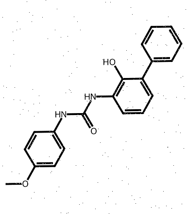 COc1ccc(NC(=O)Nc2cccc(-c3ccccc3)c2O)cc1